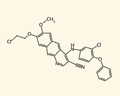 COc1cc2cc3c(Nc4ccc(Oc5ccccc5)c(Cl)c4)c(C#N)cnc3cc2cc1OCCCl